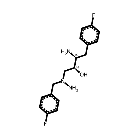 N[C@@H](Cc1ccc(F)cc1)[C@@H](O)CN(N)Cc1ccc(F)cc1